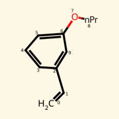 C=Cc1cccc(OCCC)c1